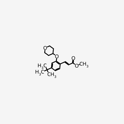 COC(=O)C=Cc1ccc(C(C)(C)C)cc1OC1CCOCC1